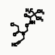 C#CCN(CONC(=O)C(C)(C)C)C(=O)CCl